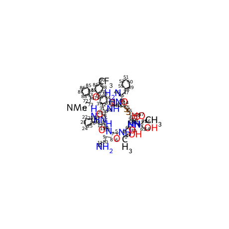 CC(O)[C@@H]1NC(=O)[C@H](CCCCN)NC(=O)[C@@H](Cc2c[nH]c3ccccc23)NC(=O)[C@H](Cc2ccccc2)NC(=O)[C@@H](NC(=O)[C@H](N)Cc2ccccc2)CSSC[C@@H](C(=O)N[C@H](CO)[C@@H](C)O)NC1=O.CNCCC(Oc1ccc(C(F)(F)F)cc1)c1ccccc1